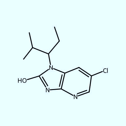 CCC(C(C)C)n1c(O)nc2ncc(Cl)cc21